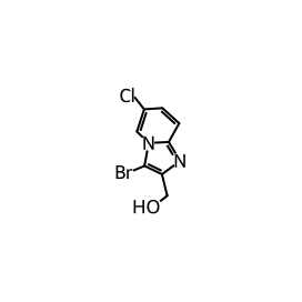 OCc1nc2ccc(Cl)cn2c1Br